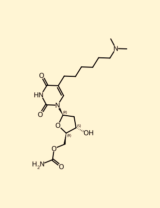 CN(C)CCCCCCc1cn([C@H]2C[C@H](O)[C@@H](COC(N)=O)O2)c(=O)[nH]c1=O